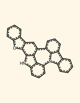 c1ccc2c(c1)oc1c2cc2c3cccc4c5ccccc5n(c5cccc6[nH]c1c2c65)c34